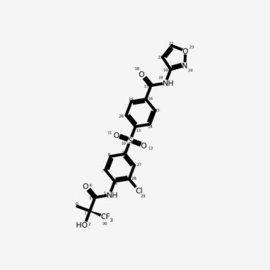 C[C@@](O)(C(=O)Nc1ccc(S(=O)(=O)c2ccc(C(=O)Nc3ccon3)cc2)cc1Cl)C(F)(F)F